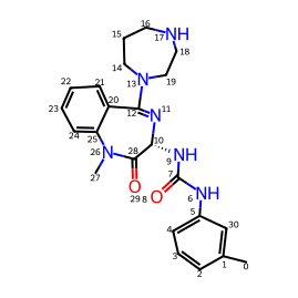 Cc1cccc(NC(=O)N[C@H]2N=C(N3CCCNCC3)c3ccccc3N(C)C2=O)c1